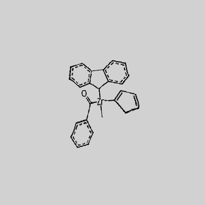 [CH3][Zr]([C](=O)c1ccccc1)([C]1=CC=CC1)[CH]1c2ccccc2-c2ccccc21